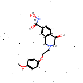 COc1ccc(OCCN2CC(=O)c3ccc(C(=O)NO)cc3C2)cc1